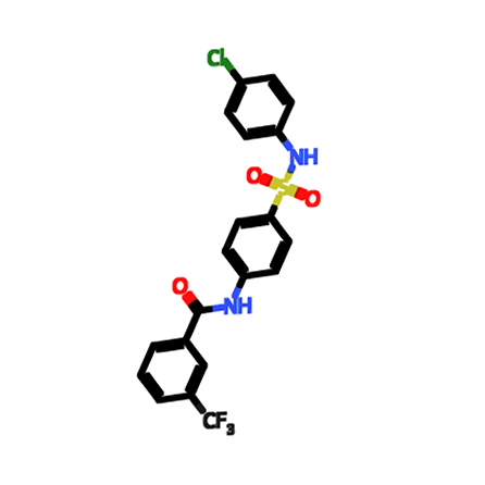 O=C(Nc1ccc(S(=O)(=O)Nc2ccc(Cl)cc2)cc1)c1cccc(C(F)(F)F)c1